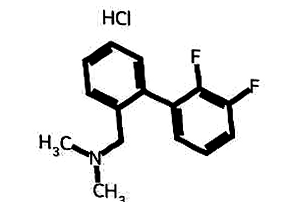 CN(C)Cc1ccccc1-c1cccc(F)c1F.Cl